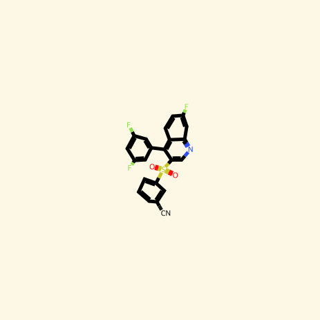 N#Cc1cccc(S(=O)(=O)c2cnc3cc(F)ccc3c2-c2cc(F)cc(F)c2)c1